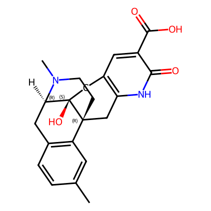 Cc1ccc2c(c1)[C@]13CCN(C)[C@H](C2)[C@]1(O)Cc1cc(C(=O)O)c(=O)[nH]c1C3